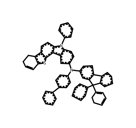 C1=CCCC(C2(c3ccccc3)c3ccccc3-c3ccc(N(c4ccc(-c5ccccc5)cc4)c4ccc5c(c4)c4c6sc7c(c6ccc4n5-c4ccccc4)CCC=C7)cc32)=C1